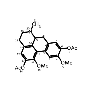 COc1cc2c(cc1OC(C)=O)CC1c3c(cc(OC(C)=O)c(OC)c3-2)CCN1C